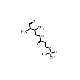 CC(C=O)C(C)CNC(=O)CCOP(=O)(O)O